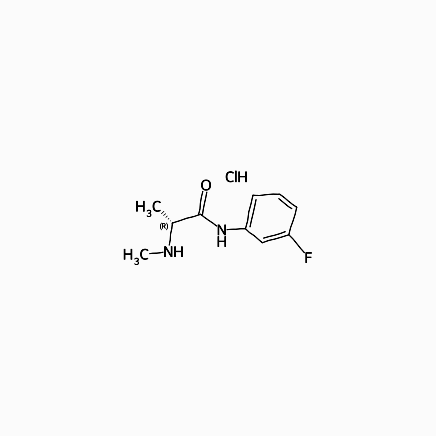 CN[C@H](C)C(=O)Nc1cccc(F)c1.Cl